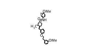 COc1cccc(CCOc2cccc(C=C3CCN(C(=O)Nc4ccc(OC)nc4)CC3C)c2)c1